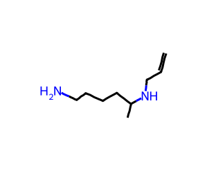 C=CCNC(C)CCCCN